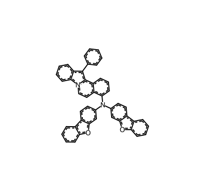 c1ccc(-c2c3ccccc3n3ccc4c(N(c5ccc6c(c5)oc5ccccc56)c5ccc6c(c5)oc5ccccc56)cccc4c23)cc1